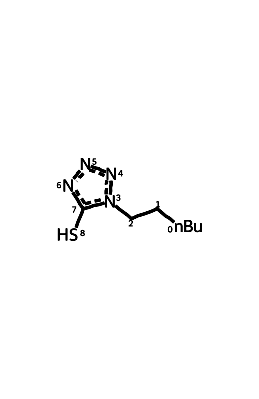 CCCCCCn1nnnc1S